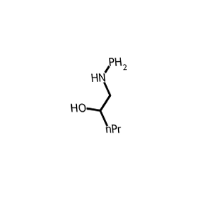 CCCC(O)CNP